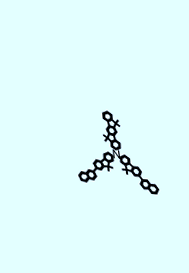 CC1(C)c2cc(-c3ccc4ccccc4c3)ccc2-c2ccc(N(c3ccc4c(c3)C(C)(C)c3cc(-c5ccc6ccccc6c5)ccc3-4)c3ccc4c(c3)C(C)(C)c3cc5c(cc3-4)C(C)(C)c3ccccc3-5)cc21